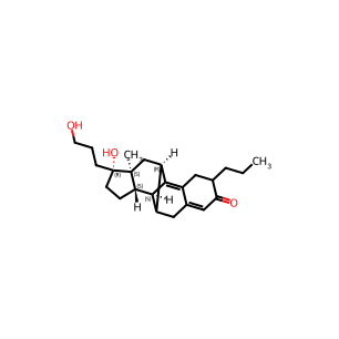 CCCC1CC2=C3[C@@H]4C[C@@]5(C)[C@@H](CC[C@@]5(O)CCCO)[C@@H]3C4CC2=CC1=O